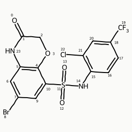 O=C1COc2c(cc(Br)cc2S(=O)(=O)Nc2ccc(C(F)(F)F)cc2Cl)N1